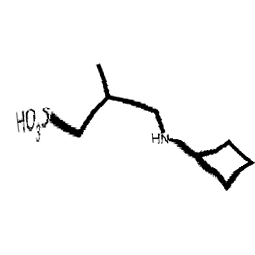 CC(CNC1CCC1)CS(=O)(=O)O